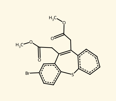 COC(=O)CC1=C(CC(=O)OC)c2cc(Br)ccc2Sc2ccccc21